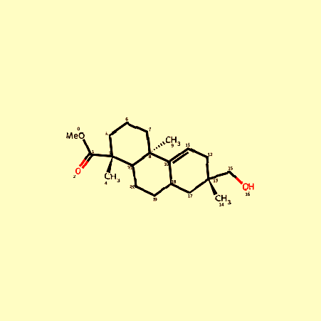 COC(=O)[C@]1(C)CCC[C@@]2(C)C3=CC[C@](C)(CO)CC3CCC12